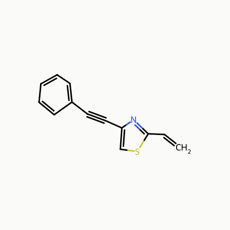 C=Cc1nc(C#Cc2ccccc2)cs1